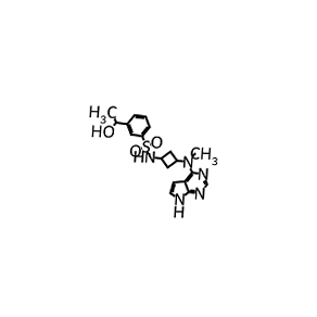 CC(O)c1cccc(S(=O)(=O)NC2CC(N(C)c3ncnc4[nH]ccc34)C2)c1